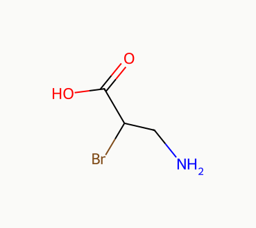 NCC(Br)C(=O)O